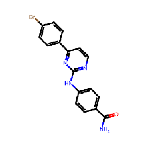 NC(=O)c1ccc(Nc2nccc(-c3ccc(Br)cc3)n2)cc1